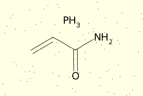 C=CC(N)=O.P